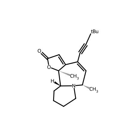 C[C@H]1C=C(C#CC(C)(C)C)C2=CC(=O)O[C@]2(C)[C@H]2CCCCN12